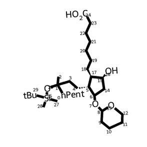 CCCCCC(C)(CC[C@H]1C(OC2CCCCO2)C[C@H](O)[C@@H]1CCCCCCC(=O)O)O[Si](C)(C)C(C)(C)C